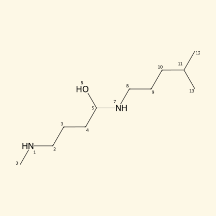 CNCCCC(O)NCCCC(C)C